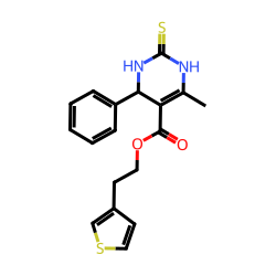 CC1=C(C(=O)OCCc2ccsc2)C(c2ccccc2)NC(=S)N1